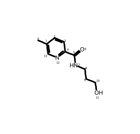 Cc1ccc(C(=O)NCCCO)nc1